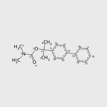 CN(C)C(=O)OC(C)(C)c1ccc(-c2ccccc2)cc1